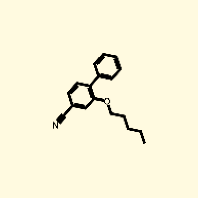 CCCCCOc1cc(C#N)ccc1-c1ccccc1